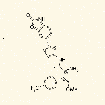 COC[C@@H](c1ccc(C(F)(F)F)cc1)[C@H](N)CNc1nnc(-c2ccc3[nH]c(=O)oc3c2)s1